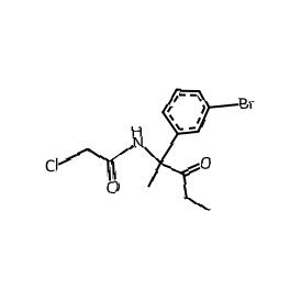 CCC(=O)C(C)(NC(=O)CCl)c1cccc(Br)c1